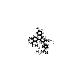 Cc1ncnc2ccc(-c3cc(-n4ccc(C(N)=O)n4)c(N)nc3-c3ccc(F)cc3)cc12